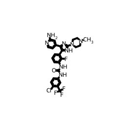 CN1CCN(c2nc(-c3ccnc(N)c3)c(-c3cccc(NC(=O)Nc4ccc(Cl)c(C(F)(F)F)c4)c3F)[nH]2)CC1